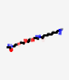 CNCCCCCCCC(=O)NCCOCCOCCOCCNC(C)=O